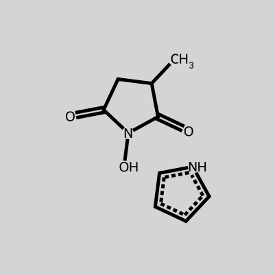 CC1CC(=O)N(O)C1=O.c1cc[nH]c1